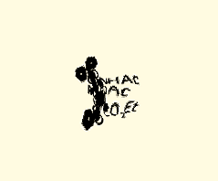 CCOC(=O)C[C@H]1[C@@H](OC(C)=O)[C@H](n2cnc3c(OC(=O)N(c4ccccc4)c4ccccc4)nc(NC(C)=O)nc32)O[C@@H]1COC(=O)c1ccccc1